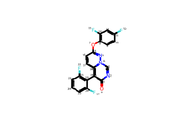 O=c1ncn2nc(Oc3ccc(F)cc3F)ccc2c1-c1c(F)cccc1F